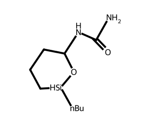 CCCC[SiH]1CCCC(NC(N)=O)O1